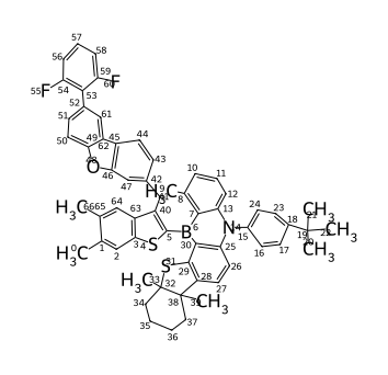 Cc1cc2sc(B3c4c(C)cccc4N(c4ccc(C(C)(C)C)cc4)c4ccc5c(c43)SC3(C)CCCCC53C)c(Cc3ccc4c(c3)oc3ccc(-c5c(F)cccc5F)cc34)c2cc1C